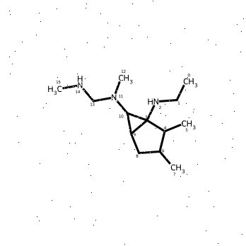 CCNC12C(C)C(C)CC1C2N(C)CNC